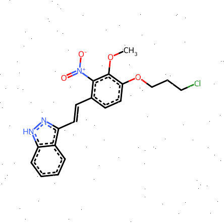 COc1c(OCCCCl)ccc(/C=C/c2n[nH]c3ccccc23)c1[N+](=O)[O-]